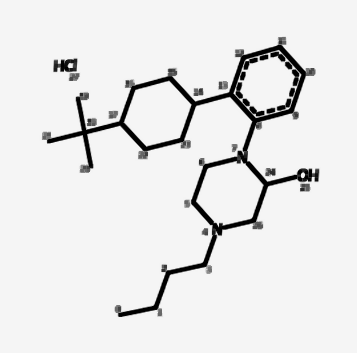 CCCCN1CCN(c2ccccc2C2CCC(C(C)(C)C)CC2)C(O)C1.Cl